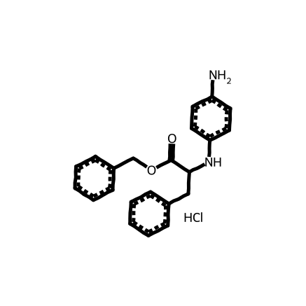 Cl.Nc1ccc(NC(Cc2ccccc2)C(=O)OCc2ccccc2)cc1